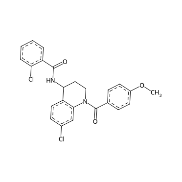 COc1ccc(C(=O)N2CCC(NC(=O)c3ccccc3Cl)c3ccc(Cl)cc32)cc1